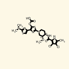 CO[C@H]1CN(c2nc(-c3csc(N(C)C)n3)c(OC(=O)O)s2)CC[C@H]1NC(=O)c1[nH]c(C)c(Cl)c1Cl